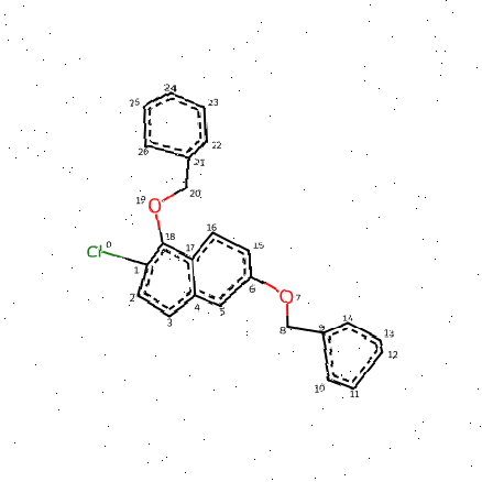 Clc1ccc2cc(OCc3ccccc3)ccc2c1OCc1ccccc1